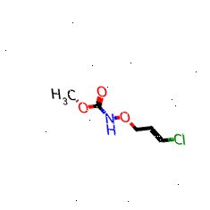 COC(=O)NOC/C=C/Cl